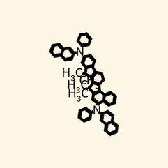 CC1(C)C2=C(CCC3=C2C(C)(C)c2cc(N(c4ccccc4)c4ccc5ccccc5c4)c4ccccc4c23)c2ccc(N(C3=CC=CCC3)c3ccc4ccccc4c3)cc21